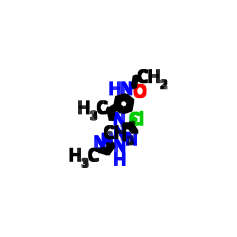 C=CC(=O)Nc1ccc2c(c1)c(C)cn2-c1nc(Nc2cc(C)nn2C)ncc1Cl